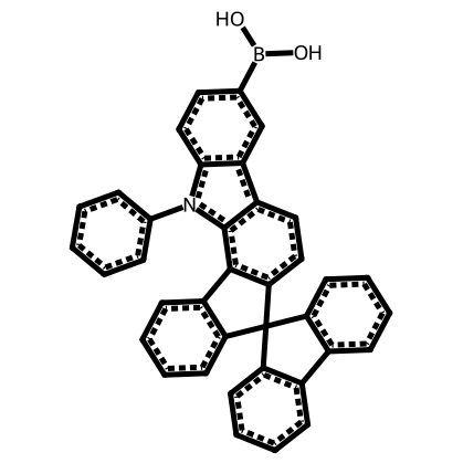 OB(O)c1ccc2c(c1)c1ccc3c(c1n2-c1ccccc1)-c1ccccc1C31c2ccccc2-c2ccccc21